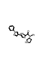 CC(C)N(C(=O)c1ncc(-c2cnn(-c3ccccc3)c2)[nH]1)[C@H]1CCNC1